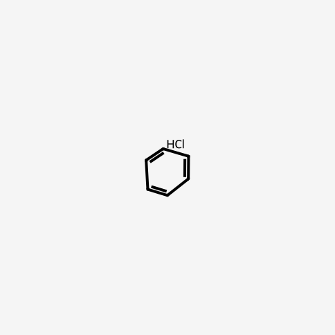 Cl.c1ccccc1